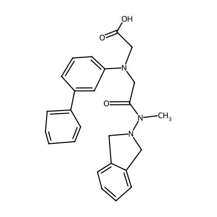 CN(C(=O)CN(CC(=O)O)c1cccc(-c2ccccc2)c1)N1Cc2ccccc2C1